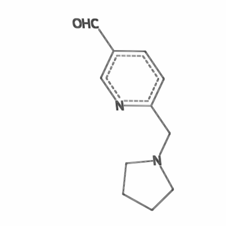 O=Cc1ccc(CN2CCCC2)nc1